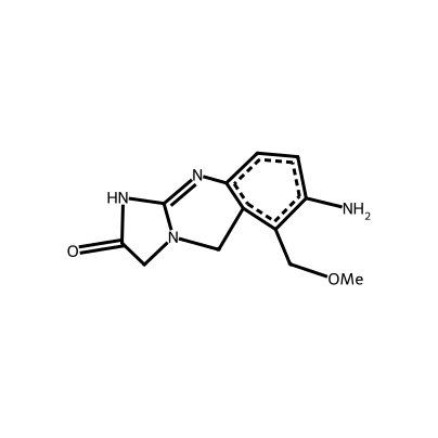 COCc1c(N)ccc2c1CN1CC(=O)NC1=N2